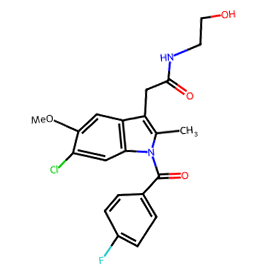 COc1cc2c(CC(=O)NCCO)c(C)n(C(=O)c3ccc(F)cc3)c2cc1Cl